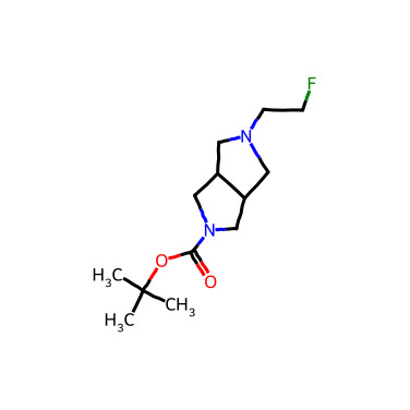 CC(C)(C)OC(=O)N1CC2CN(CCF)CC2C1